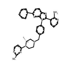 C[C@@H]1CN(Cc2ccc(-n3c(-c4cccnc4N)nc4ccc(-c5ccccc5)nc43)cc2)CCN1c1ccnc(C#N)n1